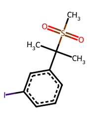 CC(C)(c1cccc(I)c1)S(C)(=O)=O